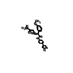 CNC(=O)CNC(C(=O)Nc1ccc(-c2cn[nH]c2)cc1)c1cccc(OC)c1